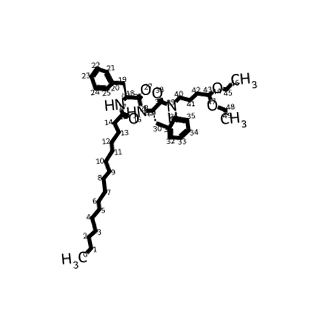 CCCCCCCCCCCCCCCC(=O)N[C@@H](Cc1ccccc1)C(=O)N[C@@H](Cc1ccccc1)C(=O)NCCCC(OCC)OCC